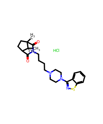 CC12CCC(C(=O)N(CCCCN3CCN(c4nsc5ccccc45)CC3)C1=O)C2(C)C.Cl